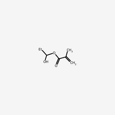 [CH2]CC(O)OC(=O)C(=C)C